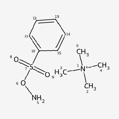 C[N+](C)(C)C.NOS(=O)(=O)c1ccccc1